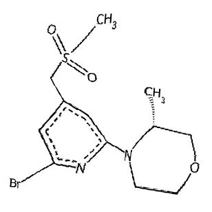 C[C@@H]1COCCN1c1cc(CS(C)(=O)=O)cc(Br)n1